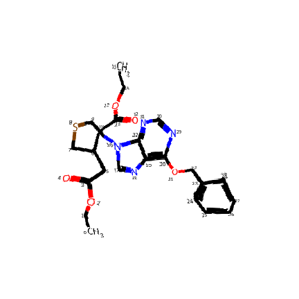 CCOC(=O)CC1CSCC1(C(=O)OCC)n1cnc2c(OCc3ccccc3)ncnc21